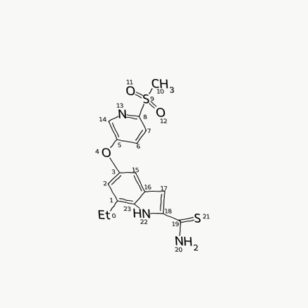 CCc1cc(Oc2ccc(S(C)(=O)=O)nc2)cc2cc(C(N)=S)[nH]c12